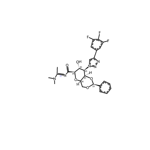 C/C(=N\C(=O)[C@@H]1O[C@@H]2CO[C@H](c3ccccc3)O[C@@H]2[C@H](n2cc(-c3cc(F)c(F)c(F)c3)nn2)[C@H]1O)N(C)C